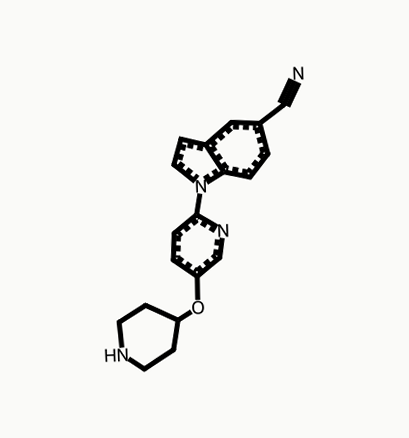 N#Cc1ccc2c(ccn2-c2ccc(OC3CCNCC3)cn2)c1